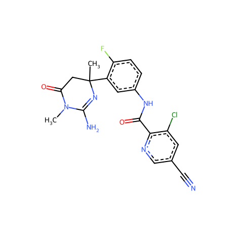 CN1C(=O)CC(C)(c2cc(NC(=O)c3ncc(C#N)cc3Cl)ccc2F)N=C1N